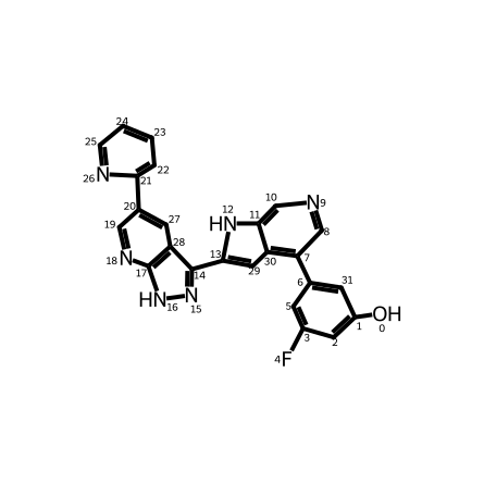 Oc1cc(F)cc(-c2cncc3[nH]c(-c4n[nH]c5ncc(-c6ccccn6)cc45)cc23)c1